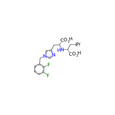 CC(C)CC(NC(Cc1cn(Cc2cccc(F)c2F)cn1)C(=O)O)C(=O)O